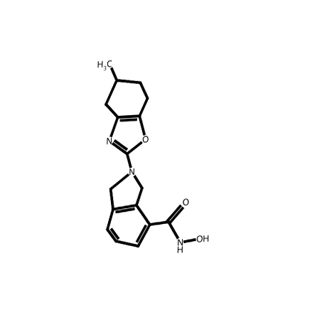 CC1CCc2oc(N3Cc4cccc(C(=O)NO)c4C3)nc2C1